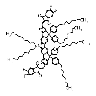 CCCCCCCCc1ccc(C2(c3ccc(CCCCCCCC)cc3)c3cc4c5cc6c(cc5n(C(CCCCCCCC)CCCCCCCC)c4cc3-c3sc(C=C4C(=O)c5cc(F)c(F)cc5C4=O)cc32)-c2sc(C=C3C(=O)c4cc(F)c(F)cc4C3=O)cc2C6(c2ccc(CCCCCCCC)cc2)c2ccc(CCCCCCCC)cc2)cc1